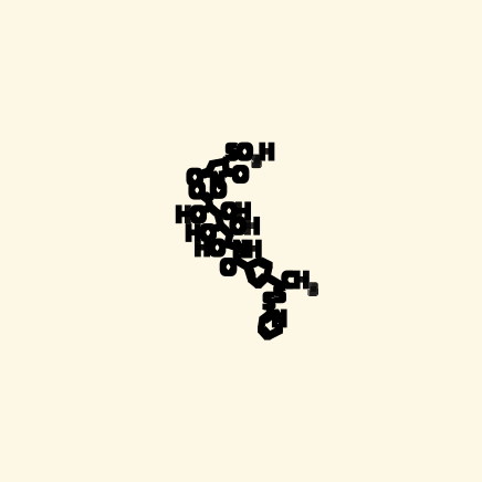 CC(SSc1ccccn1)c1ccc(C(=O)NC(O)C(O)C(O)C(O)C(O)C(=O)ON2C(=O)CC(S(=O)(=O)O)C2=O)cc1